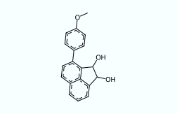 COc1ccc(-c2ccc3cccc4c3c2C(O)C4O)cc1